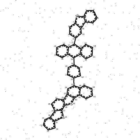 c1ccc2c(c1)sc1ccc(-c3c4ccccc4c(-c4ccc(-c5cc6c7ccc8c9ccccc9sc8c7sc6c6ccccc56)cc4)c4ccccc34)cc12